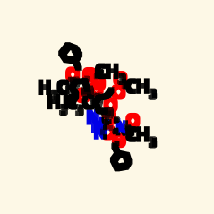 CC(=O)OCC1O[C@@H](OCN(C(C)=O)C(=O)OCc2ccccc2)C(N=[N+]=[N-])[C@@H](C)[C@@H]1O[C@@H]1OC(C)[C@@H](C)[C@@H](OCc2ccccc2)C1OC(C)=O